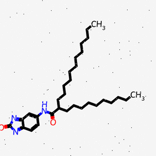 CCCCCCCCCCCCC(CCCCCCCCCC)C(=O)Nc1ccc2c(c1)=NC(=O)N=2